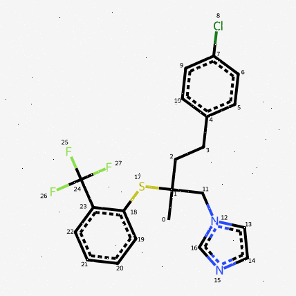 CC(CCc1ccc(Cl)cc1)(Cn1ccnc1)Sc1ccccc1C(F)(F)F